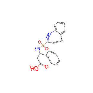 O=C(O)CC(NS(=O)(=O)c1ccc2ccccc2n1)c1ccccc1